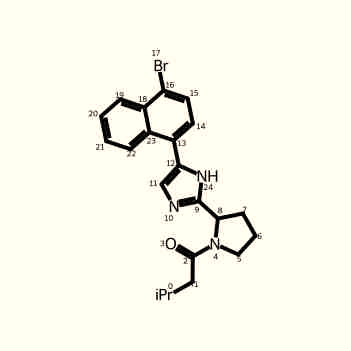 CC(C)[CH]C(=O)N1CCCC1c1ncc(-c2ccc(Br)c3ccccc23)[nH]1